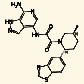 C[C@H]1CC[C@H](c2ccc3scnc3c2)N(C(=O)C(=O)Nc2cnc(N)c3[nH]ncc23)C1